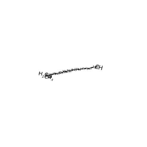 C#CC#CC#CC#CC#CC#CC#CC#CC#CC#CC#CC#CC#CC#CCC(=O)C(=C)C